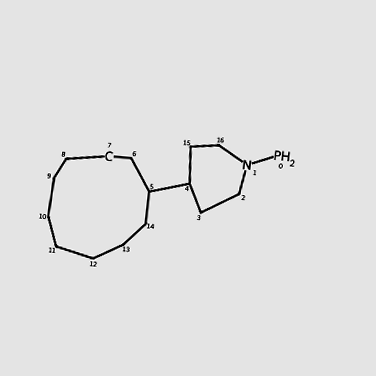 PN1CCC(C2CCCCCCCCC2)CC1